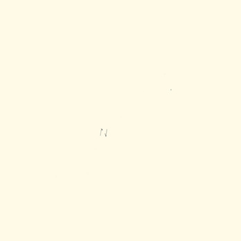 CC1(C)c2ccccc2-c2cc3c(ccc4c3c3ccccc3n4-c3ccc4ccccc4c3)cc21